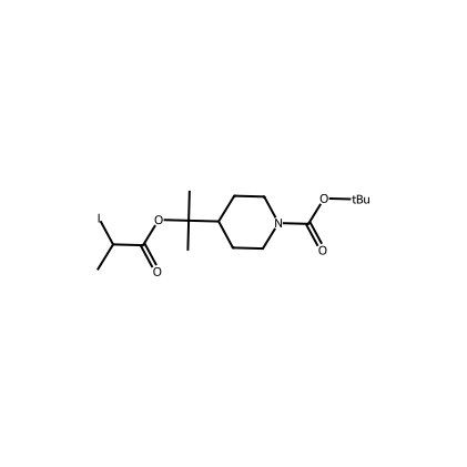 CC(I)C(=O)OC(C)(C)C1CCN(C(=O)OC(C)(C)C)CC1